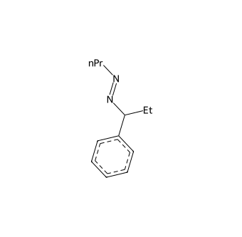 CCCN=NC(CC)c1ccccc1